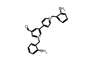 Bc1ccccc1C[n+]1ccc(-c2cc(C=O)c[n+](Cc3ccccc3B)c2)cc1